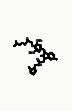 COc1cc(C=C2C(C)=C(CC(=O)NCc3cccn3C)c3cc(F)ccc32)cc(OC)c1OCC(=O)OCCN(C)C